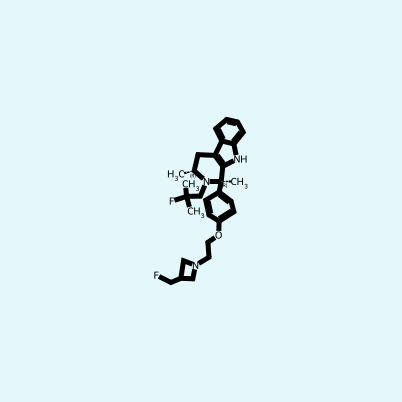 C[C@@H]1Cc2c([nH]c3ccccc23)[C@@](C)(c2ccc(OCCN3CC(CF)C3)cc2)N1CC(C)(C)F